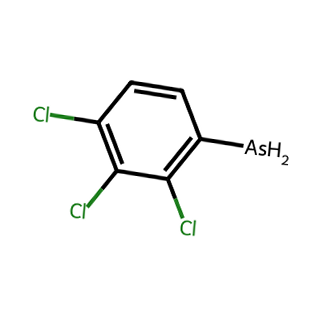 Clc1ccc([AsH2])c(Cl)c1Cl